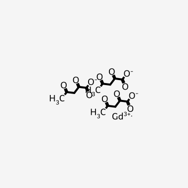 CC(=O)CC(=O)C(=O)[O-].CC(=O)CC(=O)C(=O)[O-].CC(=O)CC(=O)C(=O)[O-].[Gd+3]